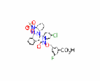 CS(=O)(=O)N[C@H]1CCCC[C@@H]1N1C(=O)c2ccccc2[C@@H](C(=O)NOCc2cc(F)cc(C(=O)O)c2)[C@@H]1c1ccc(Cl)cc1